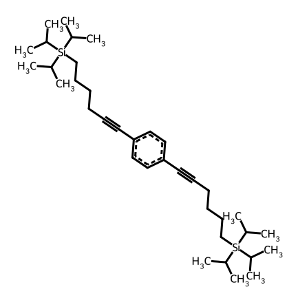 CC(C)[Si](CCCCC#Cc1ccc(C#CCCCC[Si](C(C)C)(C(C)C)C(C)C)cc1)(C(C)C)C(C)C